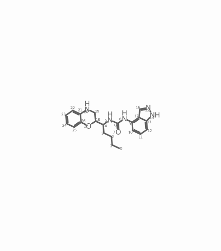 CCCCC(NC(=O)Nc1cccc2[nH]ncc12)C1CNc2ccccc2O1